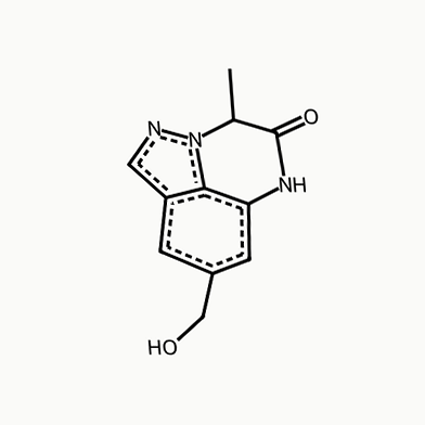 CC1C(=O)Nc2cc(CO)cc3cnn1c23